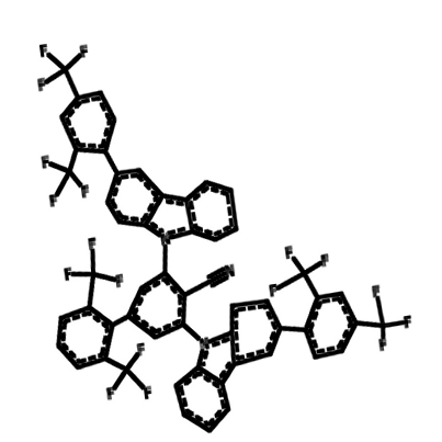 N#Cc1c(-n2c3ccccc3c3cc(-c4ccc(C(F)(F)F)cc4C(F)(F)F)ccc32)cc(-c2c(C(F)(F)F)cccc2C(F)(F)F)cc1-n1c2ccccc2c2cc(-c3ccc(C(F)(F)F)cc3C(F)(F)F)ccc21